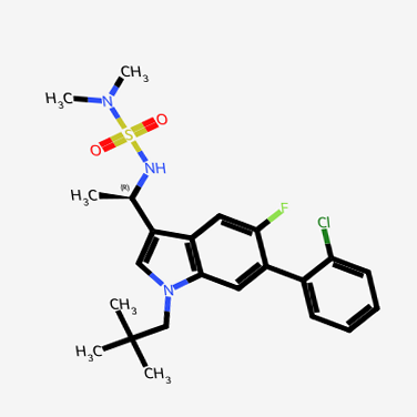 C[C@@H](NS(=O)(=O)N(C)C)c1cn(CC(C)(C)C)c2cc(-c3ccccc3Cl)c(F)cc12